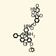 NC(=O)c1ccc(OC[C@@H]2CCCO2)c(F)c1-c1cc(C(CNC2CCC(NC(=O)COc3ccc4c(c3)C(=O)N(C3CCC(=O)NC3=O)C4=O)CC2)c2ccccc2)ccc1Cl